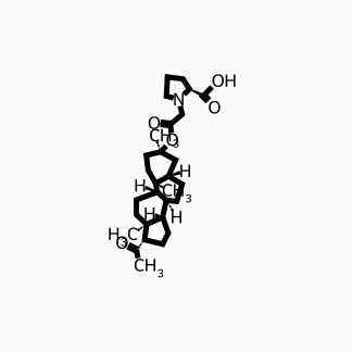 CC(=O)[C@H]1CC[C@H]2[C@@H]3CC[C@H]4C[C@](C)(OC(=O)CN5CCC[C@H]5C(=O)O)CC[C@]4(C)[C@H]3CC[C@]12C